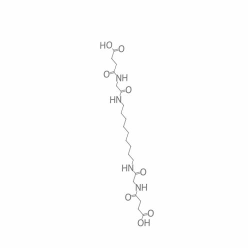 O=C(O)CCC(=O)NCC(=O)NCCCCCCCCCNC(=O)CNC(=O)CCC(=O)O